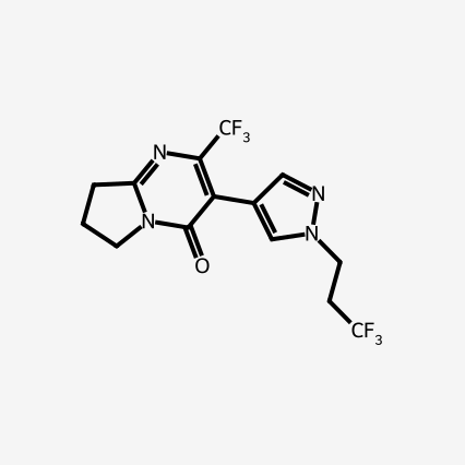 O=c1c(-c2cnn(CCC(F)(F)F)c2)c(C(F)(F)F)nc2n1CCC2